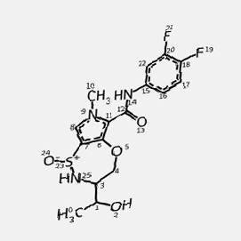 CC(O)C1COc2c(cn(C)c2C(=O)Nc2ccc(F)c(F)c2)[S+]([O-])N1